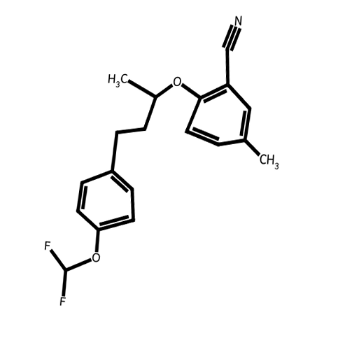 Cc1ccc(OC(C)CCc2ccc(OC(F)F)cc2)c(C#N)c1